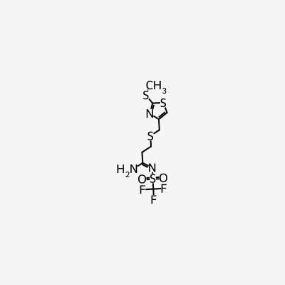 CSc1nc(CSCCC(N)=NS(=O)(=O)C(F)(F)F)cs1